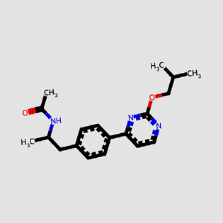 CC(=O)NC(C)Cc1ccc(-c2ccnc(OCC(C)C)n2)cc1